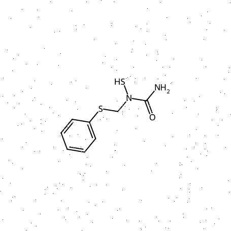 NC(=O)N(S)CSc1ccccc1